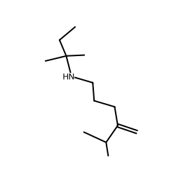 C=C(CCCNC(C)(C)CC)C(C)C